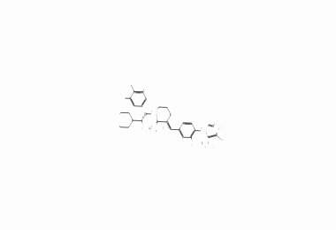 COc1cc(/C=C2\CCCN3C2=NOC(C2CCOCC2)[C@@H]3c2cc(F)c(C)c(F)c2)ccc1-n1cnc(C)c1